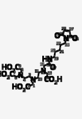 O=C(O)CN(CCN(CC(=O)O)CC(=O)O)CCN(CC(=O)O)CC(=O)NCCCCCN1C(=O)C=CC1=O